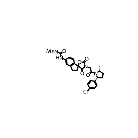 CNC(=O)Nc1ccc2c(c1)CCC21OC(=O)N(CC(=O)N2[C@H](C)CC[C@H]2c2ccc(Cl)cc2)C1=O